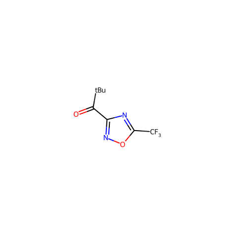 CC(C)(C)C(=O)c1noc(C(F)(F)F)n1